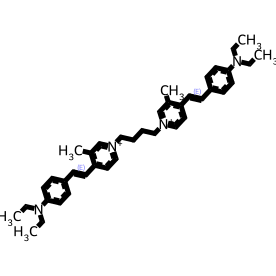 CCN(CC)c1ccc(/C=C/c2cc[n+](CCCC[n+]3ccc(/C=C/c4ccc(N(CC)CC)cc4)c(C)c3)cc2C)cc1